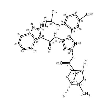 CN1C[C@@H]2CC[C@H]1CN2C(=O)Cn1cc(NC(=O)c2c(N)nn3cccnc23)c(-c2cc(Cl)ccc2OC(F)F)n1